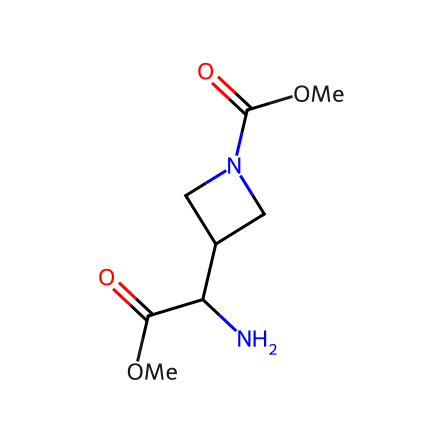 COC(=O)C(N)C1CN(C(=O)OC)C1